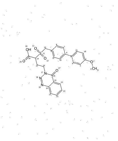 COc1ccc(-c2ccc(CS(=O)(=O)C(CCn3nnc4ccccc4c3=O)C(=O)O)cc2)cc1